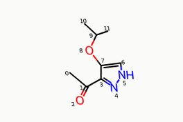 CC(=O)c1n[nH]cc1OC(C)C